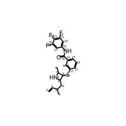 C=CC(C)CC1NC(C)C1Sc1cccc(C(=O)Nc2cc(F)c(F)c(F)c2)c1